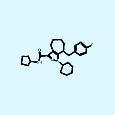 O=C(NC1CCCC1)c1nn(C2CCCCC2)c2c1CCCCC2Cc1ccc(F)cc1